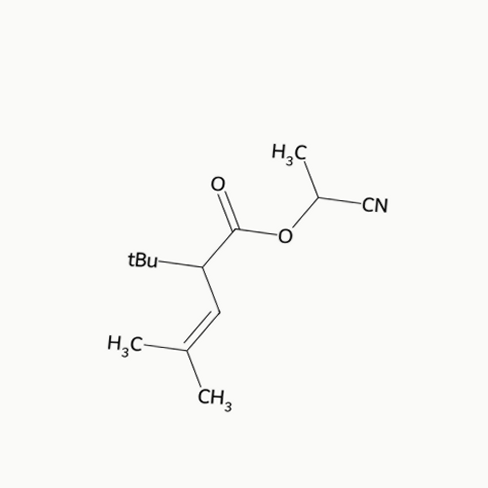 CC(C)=CC(C(=O)OC(C)C#N)C(C)(C)C